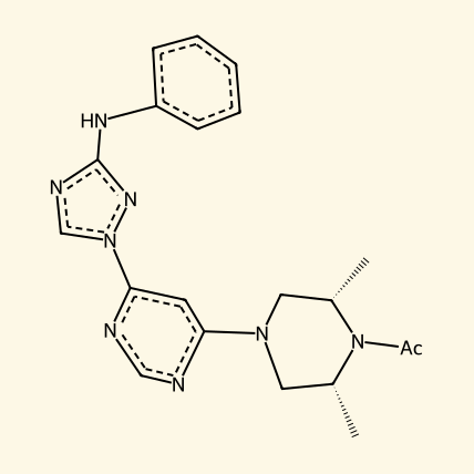 CC(=O)N1[C@H](C)CN(c2cc(-n3cnc(Nc4ccccc4)n3)ncn2)C[C@@H]1C